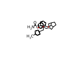 Cc1ccc(Cc2c(CC3C4CCC3CN(Cc3ccccc3)C4)cccc2OC(N)=O)cc1